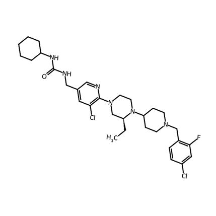 CC[C@H]1CN(c2ncc(CNC(=O)NC3CCCCC3)cc2Cl)CCN1C1CCN(Cc2ccc(Cl)cc2F)CC1